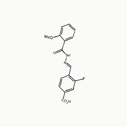 COc1ccccc1C(=O)N/N=C/c1ccc(C(=O)O)cc1F